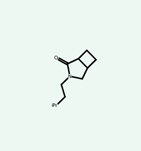 CC(C)CCN1CC2CCC2C1=O